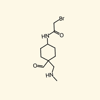 CNCC1(C=O)CCC(NC(=O)CBr)CC1